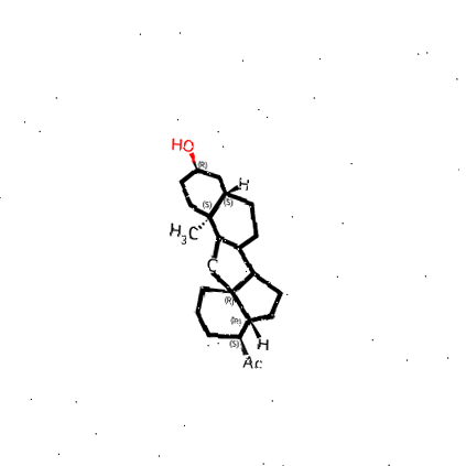 CC(=O)[C@H]1CCC[C@@]23CCC4C(CC[C@H]5C[C@H](O)CC[C@]45C)C2CC[C@H]13